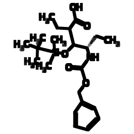 CCC(C(=O)O)C(O[Si](C)(C)C(C)(C)C)[C@H](CC)NC(=O)OCc1ccccc1